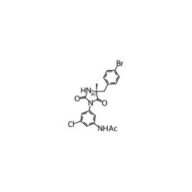 CC(=O)Nc1cc(Cl)cc(N2C(=O)N[C@](C)(Cc3ccc(Br)cc3)C2=O)c1